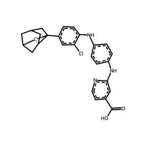 O=C(O)c1ccnc(Nc2ccc(Nc3ccc(C45CC6CC(CC4C6)C5)cc3Cl)cc2)c1